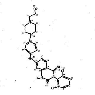 Cn1c(=O)n(-c2c(Cl)cccc2Cl)c(=N)c2cnc(Nc3ccc(N4CCN(CCO)CC4)cc3)nc21